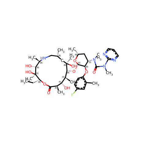 CC[C@H]1OC(=O)[C@H](C)[C@@H](O)[C@H](C)[C@@H](O[C@@H]2O[C@H](C)C[C@H](N(C)C(=O)N(C)c3ncccn3)[C@H]2Oc2ccc(F)cc2C)[C@](C)(O)C[C@@H](C)CN[C@H](C)[C@@H](O)[C@]1(C)O